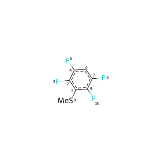 CSc1c(F)c(F)cc(F)c1F